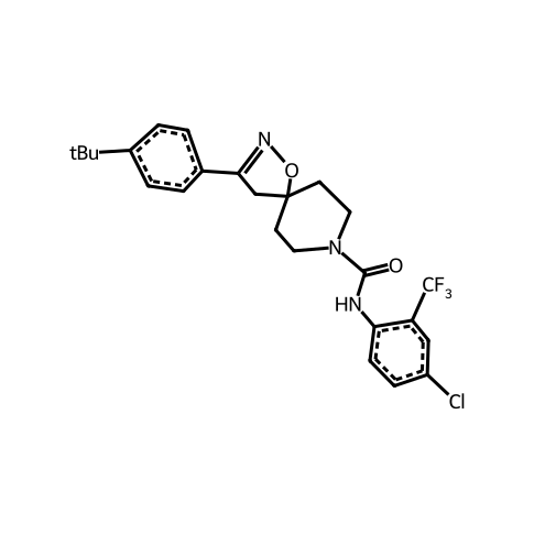 CC(C)(C)c1ccc(C2=NOC3(CCN(C(=O)Nc4ccc(Cl)cc4C(F)(F)F)CC3)C2)cc1